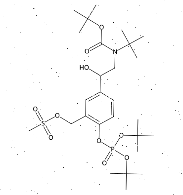 CC(C)(C)OC(=O)N(CC(O)c1ccc(OP(=O)(OC(C)(C)C)OC(C)(C)C)c(COS(C)(=O)=O)c1)C(C)(C)C